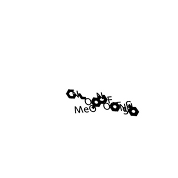 COc1cc2c(Oc3ccc(NSc4ccccc4C(F)(F)F)cc3F)ccnc2cc1OCCCN1CCCCC1